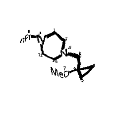 CCCN1CCN(CC2(OC)CC2)CC1